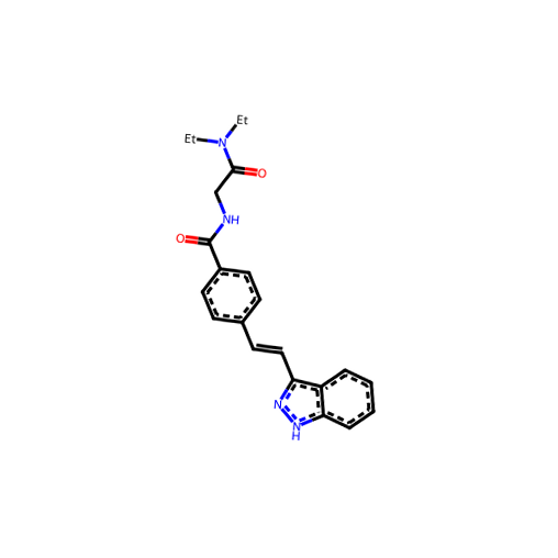 CCN(CC)C(=O)CNC(=O)c1ccc(/C=C/c2n[nH]c3ccccc23)cc1